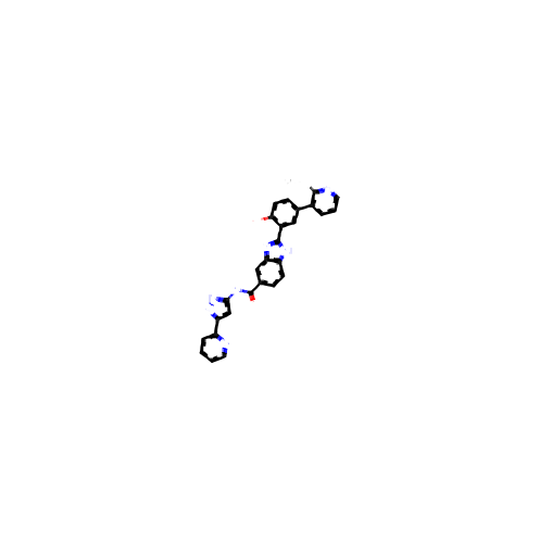 COc1ncccc1-c1ccc(O)c(-c2nc3cc(C(=O)Nc4cc(-c5ccccn5)n[nH]4)ccc3[nH]2)c1